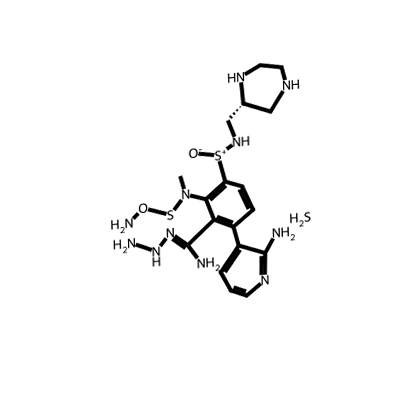 CN(SON)c1c([S+]([O-])NC[C@H]2CNCCN2)ccc(-c2cccnc2N)c1/C(N)=N/NN.S